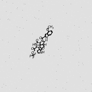 COc1cccc2[nH]c(C(=O)N3C[C@@H]4CCC[C@@H]4[C@H]3C(=O)N[C@@H](CC3CCNC3=O)C(=O)COC(F)(F)F)cc12